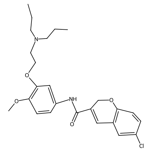 CCCN(CCC)CCOc1cc(NC(=O)C2=Cc3cc(Cl)ccc3OC2)ccc1OC